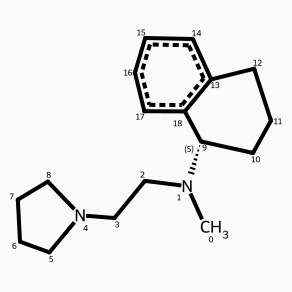 CN(CCN1CCCC1)[C@H]1CCCc2ccccc21